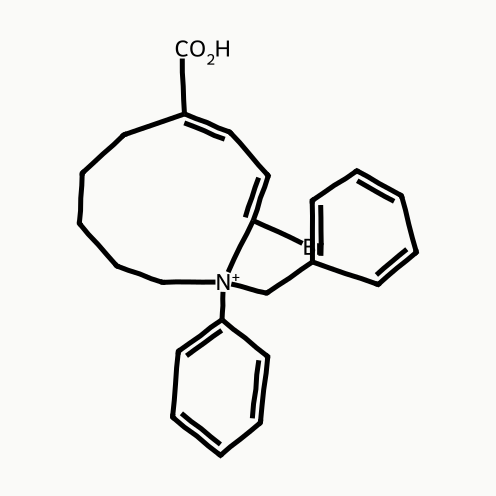 O=C(O)C1=CC=C(Br)[N+](Cc2ccccc2)(c2ccccc2)CCCCC1